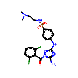 CN(C)CCNS(=O)(=O)c1ccc(Nc2nc(N)n(C(=O)c3c(F)cccc3F)n2)cc1